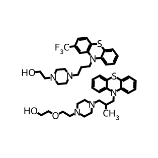 CC(CN1CCN(CCOCCO)CC1)CN1c2ccccc2Sc2ccccc21.OCCN1CCN(CCCN2c3ccccc3Sc3ccc(C(F)(F)F)cc32)CC1